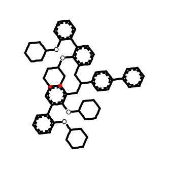 c1ccc(-c2ccc(C(Cc3cccc(-c4ccccc4OC4CCCCC4)c3OC3CCCCC3)Cc3cccc(-c4ccccc4OC4CCCCC4)c3OC3CCCCC3)cc2)cc1